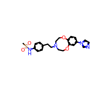 CS(=O)(=O)Nc1ccc(CCN2CCOc3ccc(-n4ccnc4)cc3OCC2)cc1